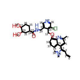 C=C/C=C(/c1cc(C)nc2c(OCc3c(Cl)cncc3CNC(=O)C3CCC(O)C(O)C3)cccc12)N(C)C